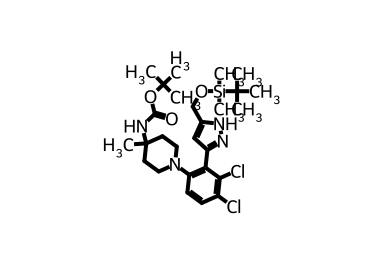 CC1(NC(=O)OC(C)(C)C)CCN(c2ccc(Cl)c(Cl)c2-c2cc(CO[Si](C)(C)C(C)(C)C)[nH]n2)CC1